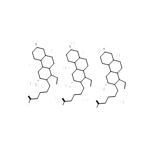 C[C@H](CCC(=O)[O-])[C@H]1CCC2C3CC[C@@H]4C[C@H](O)CC[C@]4(C)C3C[C@H](O)[C@@]21C.C[C@H](CCC(=O)[O-])[C@H]1CCC2C3CC[C@@H]4C[C@H](O)CC[C@]4(C)C3C[C@H](O)[C@@]21C.C[C@H](CCC(=O)[O-])[C@H]1CCC2C3CC[C@@H]4C[C@H](O)CC[C@]4(C)C3C[C@H](O)[C@@]21C.[Fe+3]